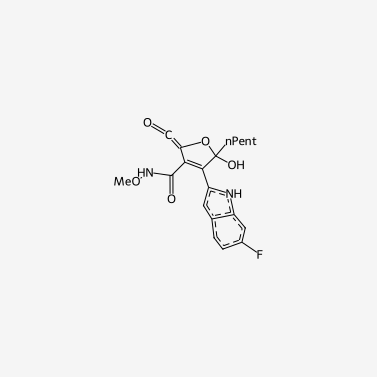 CCCCCC1(O)OC(=C=O)C(C(=O)NOC)=C1c1cc2ccc(F)cc2[nH]1